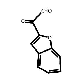 O=CC(=O)c1cc2ccccc2o1